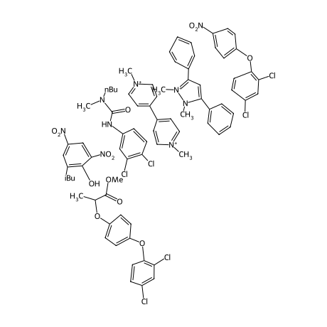 CCC(C)c1cc([N+](=O)[O-])cc([N+](=O)[O-])c1O.CCCCN(C)C(=O)Nc1ccc(Cl)c(Cl)c1.COC(=O)C(C)Oc1ccc(Oc2ccc(Cl)cc2Cl)cc1.C[n+]1ccc(-c2cc[n+](C)cc2)cc1.Cn1c(-c2ccccc2)cc(-c2ccccc2)[n+]1C.O=[N+]([O-])c1ccc(Oc2ccc(Cl)cc2Cl)cc1